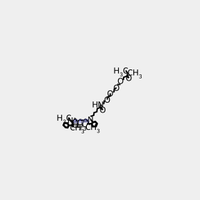 CC(C)C(=O)CCOCCOCCOCCOCCNC(=O)CCCCCN1/C(=C/C=C/C=C/C2=[N+](C)c3ccccc3C2(C)C)C(C)(C)c2ccccc21